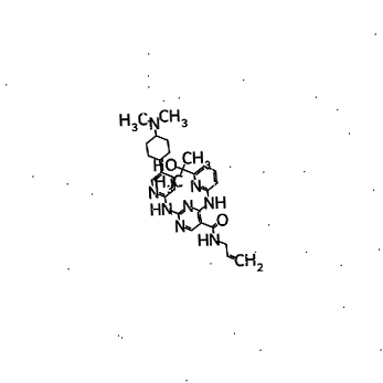 C=CCNC(=O)c1cnc(Nc2ccc(C3CCC(N(C)C)CC3)cn2)nc1Nc1cccc(C(C)(C)O)n1